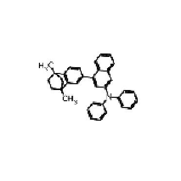 CC12CCC(C)(CC1)c1cc(-c3cc(N(c4ccccc4)c4ccccc4)cc4ccccc34)ccc12